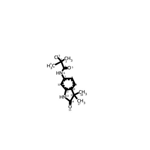 CC(C)(Cl)C(=O)Nc1ccc2c(c1)NC(=O)C2(C)C